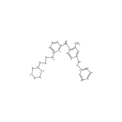 Cc1cc(OCc2cnccn2)ccc1Nc1cccc(OCCCC2CCCCC2)c1